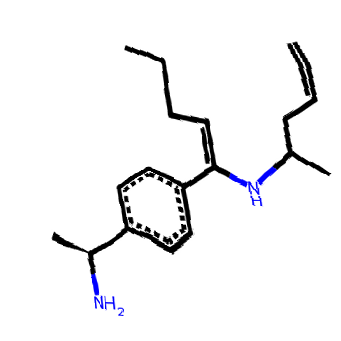 C=CCC(C)N/C(=C/CCC)c1ccc([C@H](C)N)cc1